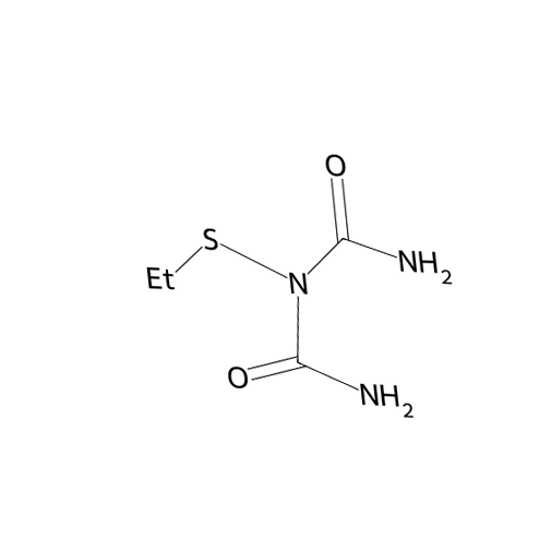 CCSN(C(N)=O)C(N)=O